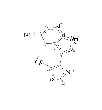 N#Cc1cnc2[nH]cc(-c3nnsc3C(F)(F)F)c2c1